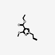 C=CCn1cc(C(=O)OCC)c(OC)n1